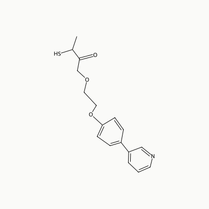 CC(S)C(=O)COCCOc1ccc(-c2cccnc2)cc1